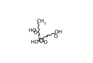 CCCCCC(/C=C/[C@H]1[C@H](O)CC(=O)[C@@H]1C/C=C/CCC(=O)O)OO